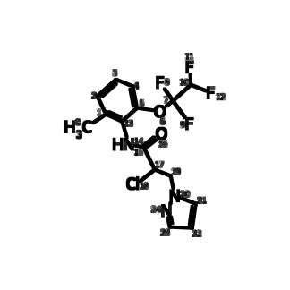 Cc1cccc(OC(F)(F)C(F)F)c1NC(=O)C(Cl)Cn1cccn1